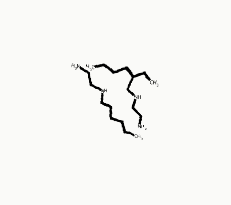 CCCCC(CC)CNCCN.CCCCCCNCCN